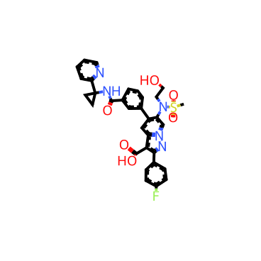 CS(=O)(=O)N(CCO)c1cn2nc(-c3ccc(F)cc3)c(C(=O)O)c2cc1-c1cccc(C(=O)NC2(c3ccccn3)CC2)c1